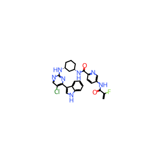 C=C(F)C(=O)Nc1ccc(C(=O)N[C@H]2CCC[C@@H](Nc3ncc(Cl)c(-c4c[nH]c5ccccc45)n3)C2)nc1